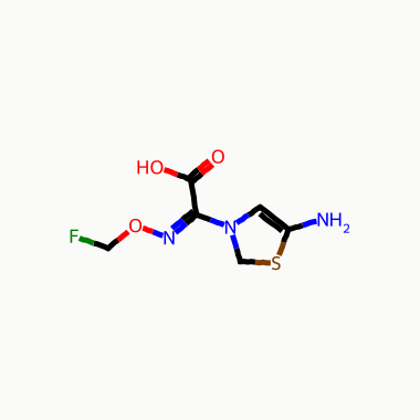 NC1=CN(C(=NOCF)C(=O)O)CS1